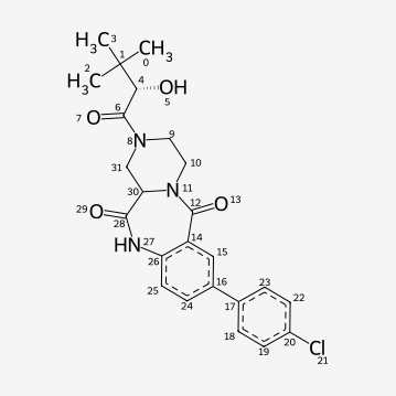 CC(C)(C)[C@H](O)C(=O)N1CCN2C(=O)c3cc(-c4ccc(Cl)cc4)ccc3NC(=O)C2C1